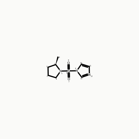 C[C@@H]1CCCN1S(=O)(=O)n1ccnc1